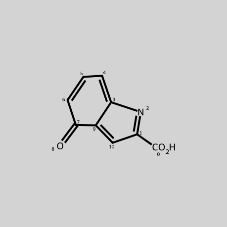 O=C(O)C1=NC2=CC=CC(=O)C2=C1